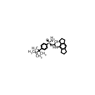 CN(C)C(C)(C)c1ccc(S(N)(=O)=NC(O)Nc2c3c(cc4c2CCC4)CCC3)cc1